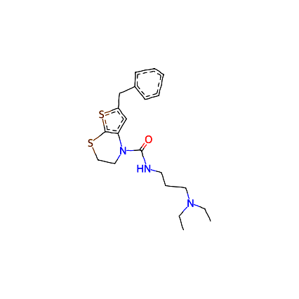 CCN(CC)CCCNC(=O)N1CCSc2sc(Cc3ccccc3)cc21